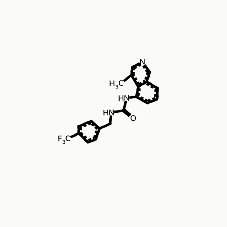 Cc1cncc2cccc(NC(=O)NCc3ccc(C(F)(F)F)cc3)c12